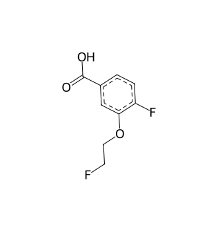 O=C(O)c1ccc(F)c(OCCF)c1